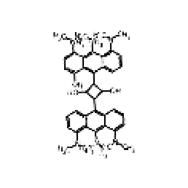 CN(C)c1cccc2c(C3C(O)C(c4c5cccc(N(C)C)c5c(N(C)C)c5c(N(C)C)ccc(O)c45)C3O)c3cccc(N(C)C)c3c(N(C)C)c12